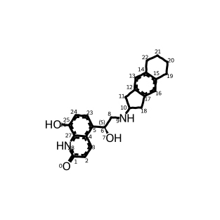 O=c1ccc2c([C@H](O)CNC3Cc4cc5c(cc4C3)CCCC5)ccc(O)c2[nH]1